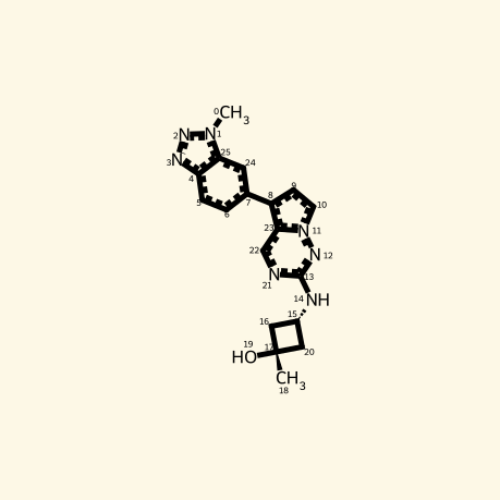 Cn1nnc2ccc(-c3ccn4nc(N[C@H]5C[C@@](C)(O)C5)ncc34)cc21